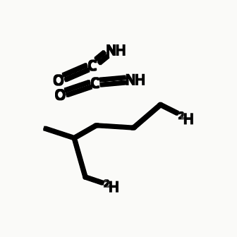 N=C=O.N=C=O.[2H]CCCC(C)C[2H]